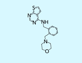 c1ccc(CN2CCOCC2)c(CNc2ncnc3sccc23)c1